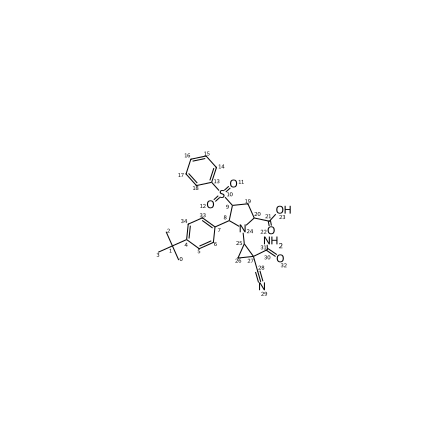 CC(C)(C)c1ccc(C2C(S(=O)(=O)c3ccccc3)CC(C(=O)O)N2C2CC2(C#N)C(N)=O)cc1